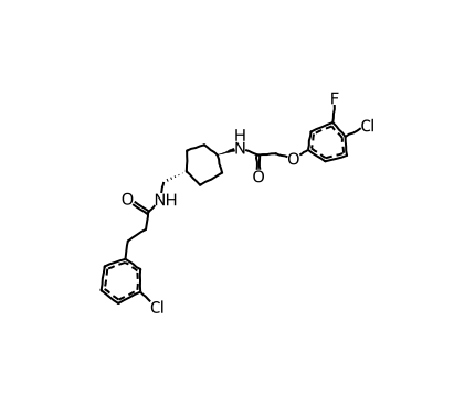 O=C(CCc1cccc(Cl)c1)NC[C@H]1CC[C@H](NC(=O)COc2ccc(Cl)c(F)c2)CC1